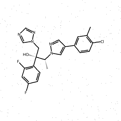 Cc1cc(-c2cnn([C@H](C)[C@](O)(Cn3cncn3)c3ccc(F)cc3F)c2)ccc1Cl